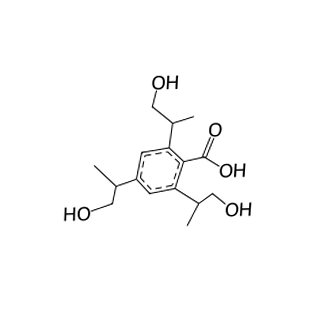 CC(CO)c1cc(C(C)CO)c(C(=O)O)c(C(C)CO)c1